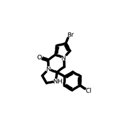 O=C1c2cc(Br)cn2CC2(c3ccc(Cl)cc3)NCCN12